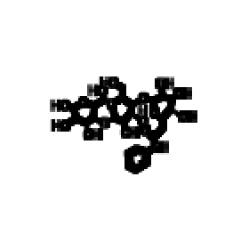 O=C(CC1O[C@@H](O[C@@H]2C(CO)O[C@@H](O[C@@H]3C(CO)OC(O)C(O)[C@H]3O)C(O)[C@H]2O)C(O)[C@@H](O)[C@@H]1O)Nc1ccccc1